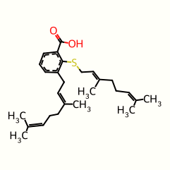 CC(C)=CCC/C(C)=C/CSc1c(C/C=C(\C)CCC=C(C)C)cccc1C(=O)O